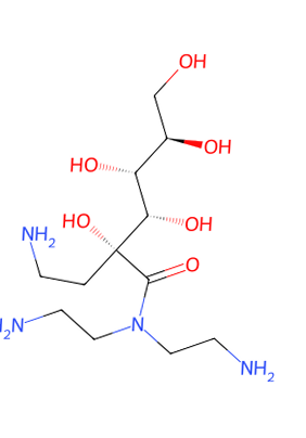 NCCN(CCN)C(=O)[C@@](O)(CCN)[C@@H](O)[C@H](O)[C@H](O)CO